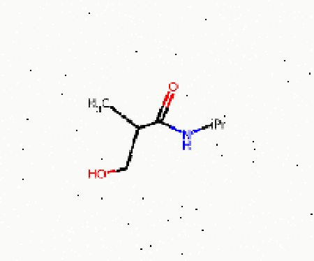 CC(C)NC(=O)C(C)CO